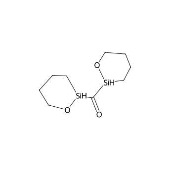 O=C([SiH]1CCCCO1)[SiH]1CCCCO1